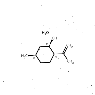 C=C(C)[C@@H]1CC[C@@H](C)C[C@H]1O.O